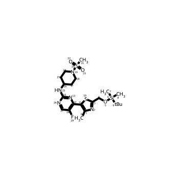 Cc1nc(CO[Si](C)(C)C(C)(C)C)sc1-c1nc(NC2CCN(S(C)(=O)=O)CC2)ncc1F